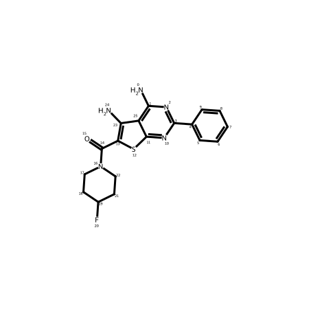 Nc1nc(-c2ccccc2)nc2sc(C(=O)N3CCC(F)CC3)c(N)c12